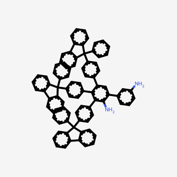 Nc1cccc(-c2cc(-c3ccc(C4(c5ccccc5)c5ccccc5-c5ccccc54)cc3)c(-c3ccc(C4(c5ccccc5)c5ccccc5-c5ccccc54)cc3)c(-c3ccc(C4(c5ccccc5)c5ccccc5-c5ccccc54)cc3)c2N)c1